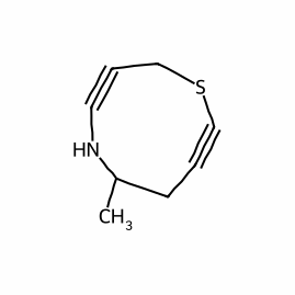 CC1CC#CSCC#CN1